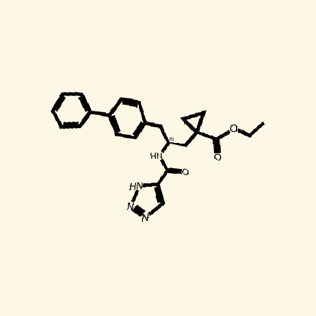 CCOC(=O)C1(C[C@H](Cc2ccc(-c3ccccc3)cc2)NC(=O)c2cnn[nH]2)CC1